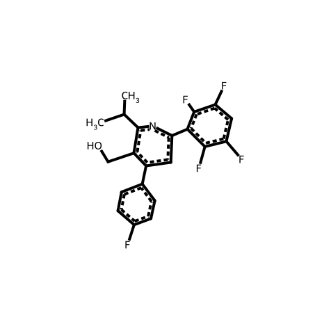 CC(C)c1nc(-c2c(F)c(F)cc(F)c2F)cc(-c2ccc(F)cc2)c1CO